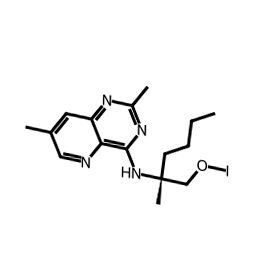 CCCC[C@](C)(COI)Nc1nc(C)nc2cc(C)cnc12